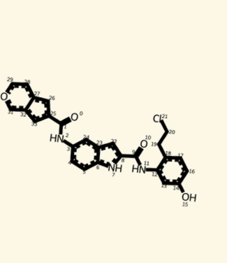 O=C(Nc1ccc2[nH]c(C(=O)Nc3cc(O)ccc3CCCl)cc2c1)c1cc2ccocc-2c1